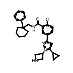 O=C(NCC1(c2ccccc2)CCCCC1)c1cc(-c2cc(C3CC3)n(C3CNC3)n2)ccc1Cl